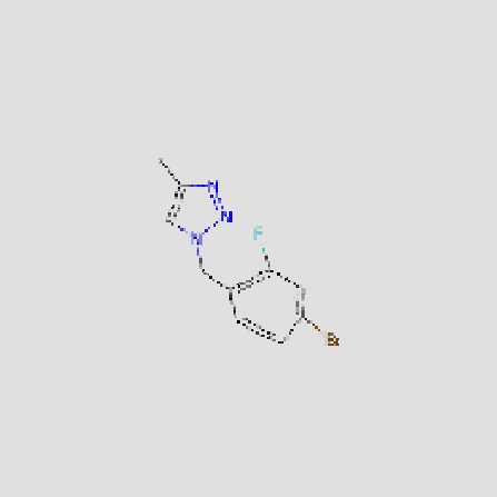 Cc1cn(Cc2ccc(Br)cc2F)nn1